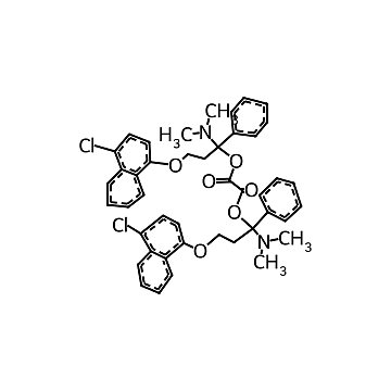 CN(C)C(CCOc1ccc(Cl)c2ccccc12)(OC(=O)C(=O)OC(CCOc1ccc(Cl)c2ccccc12)(c1ccccc1)N(C)C)c1ccccc1